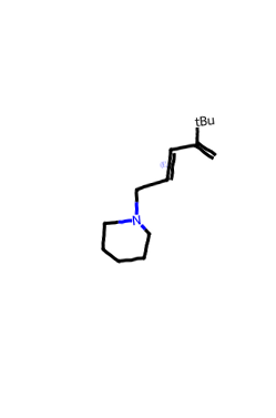 C=C(/C=C/CN1CCCCC1)C(C)(C)C